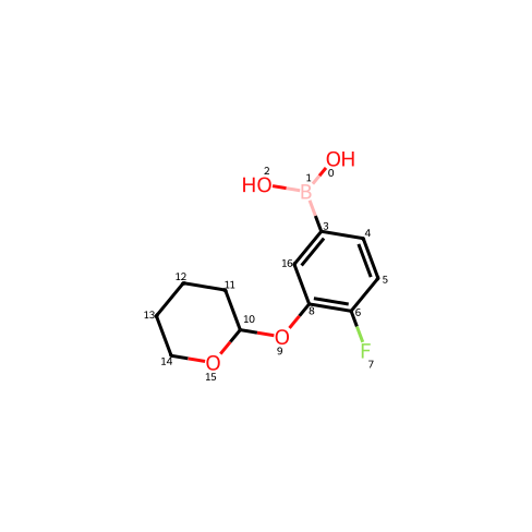 OB(O)c1ccc(F)c(OC2CCCCO2)c1